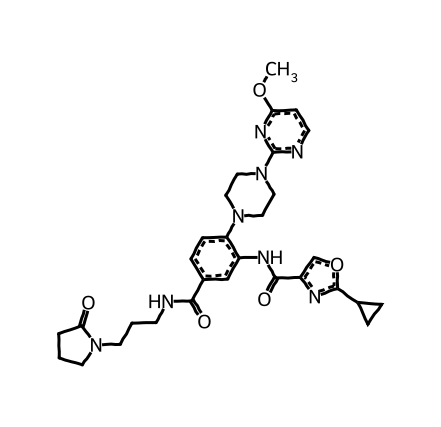 COc1ccnc(N2CCN(c3ccc(C(=O)NCCCN4CCCC4=O)cc3NC(=O)c3coc(C4CC4)n3)CC2)n1